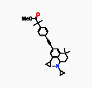 COC(=O)C(C)(C)c1ccc(C#Cc2cc(C3CC3)c3c(c2)C(C)(C)CCC3N(C)C2CC2)cc1